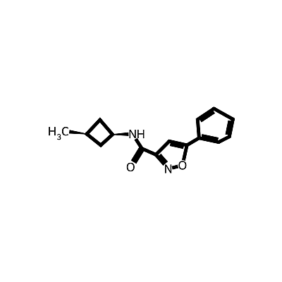 C[C@H]1C[C@@H](NC(=O)c2cc(-c3ccccc3)on2)C1